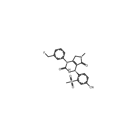 CN1CC2=C(C1=O)[C@@H](c1ccc(C#N)cc1S(C)(=O)=O)NC(=O)N2c1cccc(CF)c1